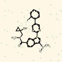 CN(CC1(O)CC1)C(=O)c1ccc2c([S+](C)[O-])cn(-c3ncc(-c4ccccc4F)cn3)c2c1